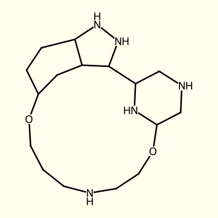 C1CNCCOC2CNCC(N2)C2NNC3CCC(CC32)OC1